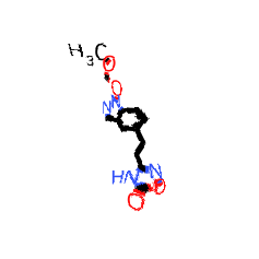 COCOn1ncc2cc(CCc3noc(=O)[nH]3)ccc21